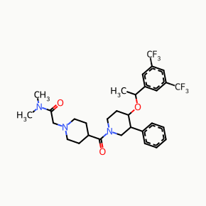 CC(OC1CCN(C(=O)C2CCN(CC(=O)N(C)C)CC2)CC1c1ccccc1)c1cc(C(F)(F)F)cc(C(F)(F)F)c1